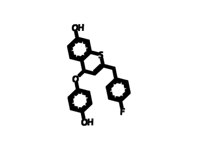 Oc1ccc(OC2C=C(Cc3ccc(F)cc3)Sc3cc(O)ccc32)cc1